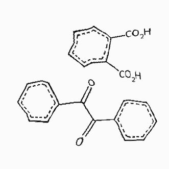 O=C(C(=O)c1ccccc1)c1ccccc1.O=C(O)c1ccccc1C(=O)O